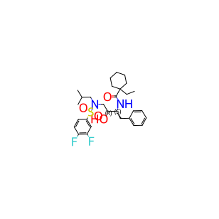 CCC1(C(=O)N[C@@H](Cc2ccccc2)[C@H](O)CN(CC(C)C)S(=O)(=O)c2ccc(F)c(F)c2)CCCCC1